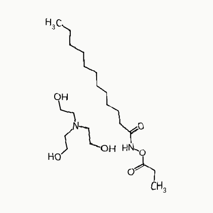 CCCCCCCCCCCC(=O)NOC(=O)CC.OCCN(CCO)CCO